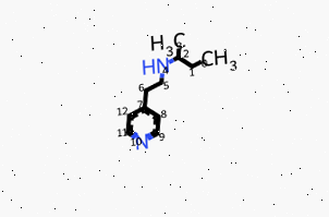 CCC(C)NCCc1ccncc1